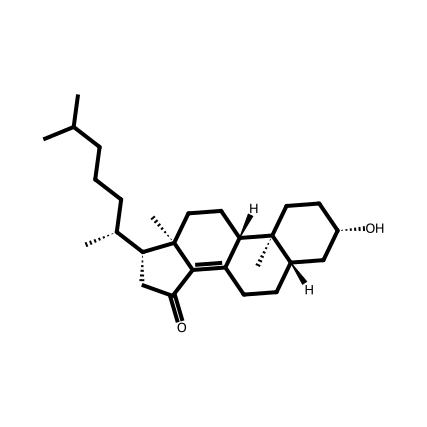 CC(C)CCC[C@@H](C)[C@H]1CC(=O)C2=C3CC[C@H]4C[C@@H](O)CC[C@]4(C)[C@H]3CC[C@@]21C